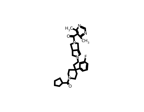 Cc1ncnc(C)c1C(=O)N1CC2=CN(CCC3(c4cccc(F)c4)CCN(C(=O)C4CCCC4)CC3)CC2C1